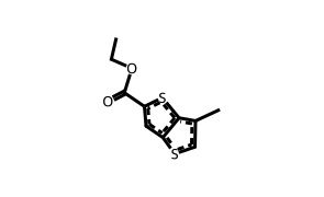 CCOC(=O)c1cc2scc(C)c2s1